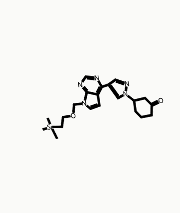 C[Si](C)(C)CCOCn1ccc2c(-c3cnn(C4CCCC(=O)C4)c3)ncnc21